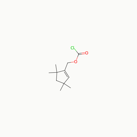 CC1(C)C=C(COC(=O)Cl)C(C)(C)C1